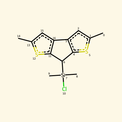 Cc1cc2c(s1)C([Si](C)(C)Cl)c1sc(C)cc1-2